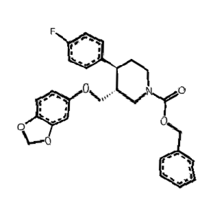 O=C(OCc1ccccc1)N1CC[C@H](c2ccc(F)cc2)[C@@H](COc2ccc3c(c2)OCO3)C1